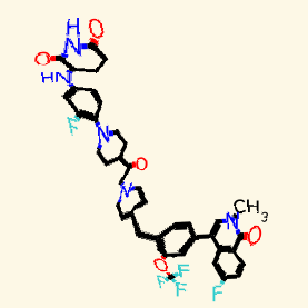 Cn1cc(-c2ccc(CC3CCN(CC(=O)C4CCN(c5ccc(NC6CCC(=O)NC6=O)cc5F)CC4)CC3)c(OC(F)(F)F)c2)c2cc(F)ccc2c1=O